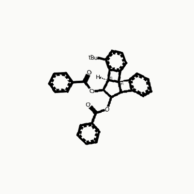 CC(C)(C)c1cccc2c1[C@@H]1C(OC(=O)c3ccccc3)C(OC(=O)c3ccccc3)C3c4ccccc4[C@@]231